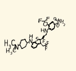 CN(C)C1CCC(Nc2cccc3c(CC(F)(F)F)c(C#CCNc4ccc(S(N)(=O)=O)cc4OC(F)F)sc23)CC1